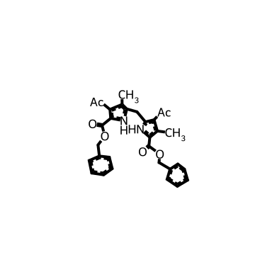 CC(=O)c1c(Cc2[nH]c(C(=O)OCc3ccccc3)c(C(C)=O)c2C)[nH]c(C(=O)OCc2ccccc2)c1C